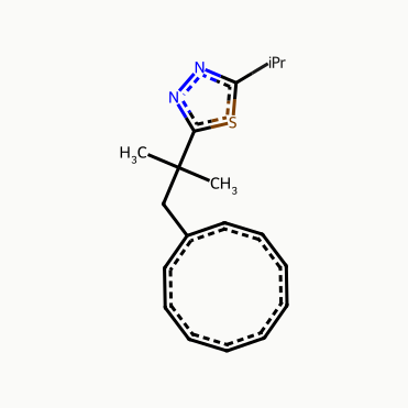 CC(C)c1nnc(C(C)(C)Cc2ccccccccc2)s1